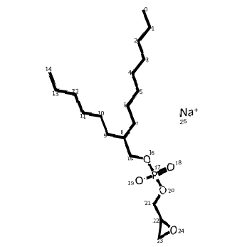 CCCCCCCCC(CCCCCC)COP(=O)([O-])OCC1CO1.[Na+]